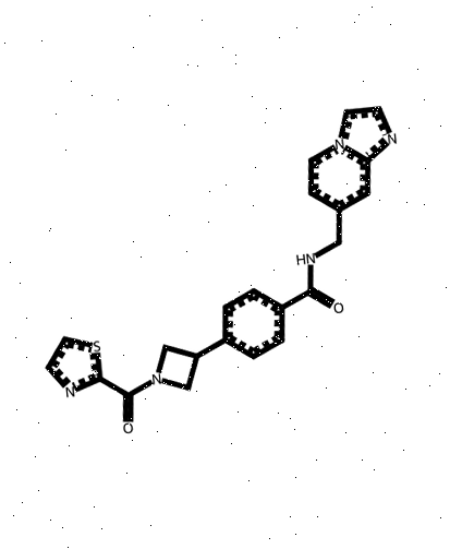 O=C(NCc1ccn2ccnc2c1)c1ccc(C2CN(C(=O)c3nccs3)C2)cc1